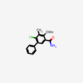 COc1c(C(N)=O)cc(-c2ccccc2)c(Cl)c1C